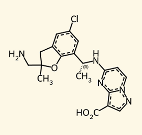 C[C@@H](Nc1ccn2ncc(C(=O)O)c2n1)c1cc(Cl)cc2c1OC(C)(CN)C2